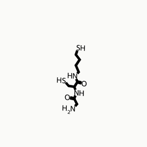 NCC(=O)NC(CS)C(=O)NCCCCS